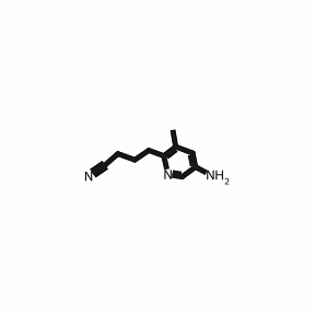 Cc1cc(N)cnc1CCCC#N